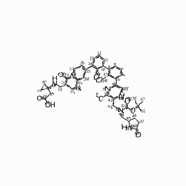 COc1nc(-c2cccc(-c3cccc(-c4ccn5c(=O)c(CNC6(CC(=O)O)CC6)cnc5c4)c3Cl)c2Cl)cnc1CN(CC1CCC(=O)N1)C(=O)OC(C)(C)C